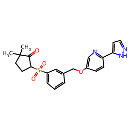 CC1(C)CCC(S(=O)(=O)c2cccc(COc3ccc(-c4ccn[nH]4)nc3)c2)C1=O